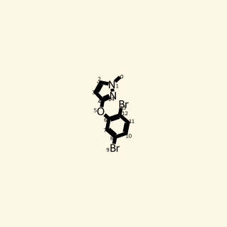 Cn1[c]cc(Oc2cc(Br)ccc2Br)n1